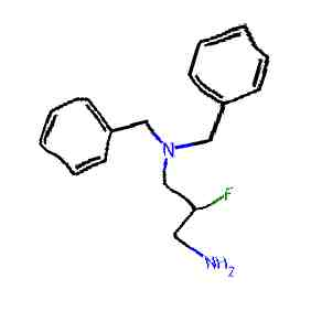 NCC(F)CN(Cc1ccccc1)Cc1ccccc1